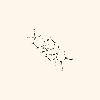 C[C@@H]1C[C@H]2[C@@H]3CC=C4C[C@](C)(F)CC[C@]4(C)[C@H]3CC[C@]2(C)C1=O